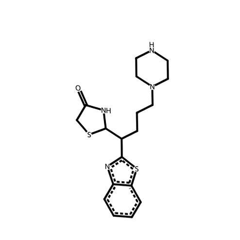 O=C1CSC(C(CCCN2CCNCC2)c2nc3ccccc3s2)N1